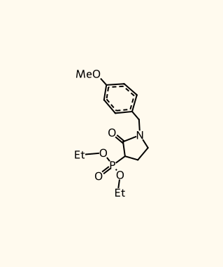 CCOP(=O)(OCC)C1CCN(Cc2ccc(OC)cc2)C1=O